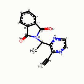 C#Cc1nccnc1C(C)N1C(=O)c2ccccc2C1=O